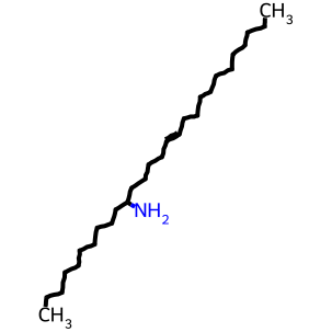 CCCCCCCCCCCC=CCCCCC(N)CCCCCCCCCC